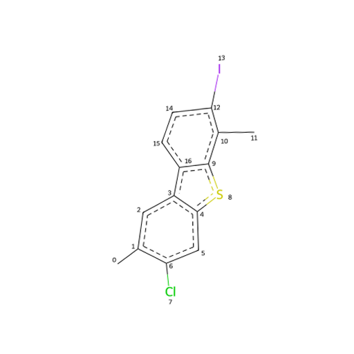 Cc1cc2c(cc1Cl)sc1c(C)c(I)ccc12